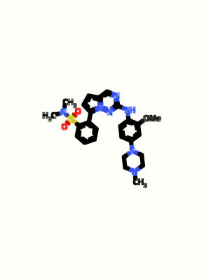 COc1cc(N2CCN(C)CC2)ccc1Nc1ncc2ccc(-c3ccccc3S(=O)(=O)N(C)C)n2n1